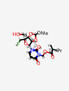 COC1O[C@@H]2[C@](CO)(CF)O[C@@H](n3ccc(=O)n(COC(=O)C(C)C(C)C)c3=O)[C@]2(C)O1